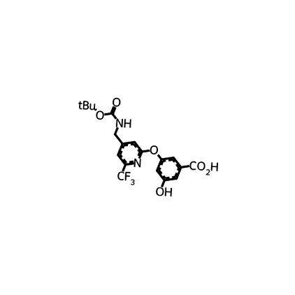 CC(C)(C)OC(=O)NCc1cc(Oc2cc(O)cc(C(=O)O)c2)nc(C(F)(F)F)c1